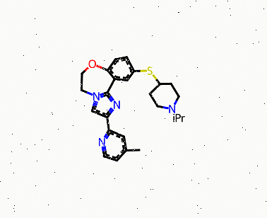 Cc1ccnc(-c2cn3c(n2)-c2cc(SC4CCN(C(C)C)CC4)ccc2OCC3)c1